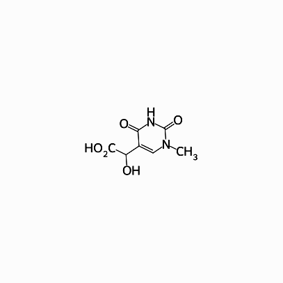 Cn1cc(C(O)C(=O)O)c(=O)[nH]c1=O